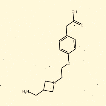 NCC1CN(CCOc2ccc(CC(=O)O)cc2)C1